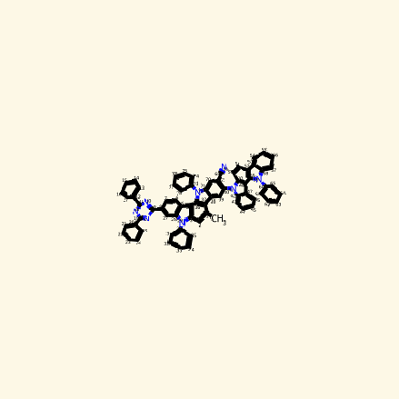 Cc1cc2c(c3ccc(-c4nc(-c5ccccc5)nc(-c5ccccc5)n4)cc3n2-c2ccccc2)c2c1c1cc(-n3c4ccccc4c4c3ccc3c5ccccc5n(-c5ccccc5)c34)c(C#N)cc1n2-c1ccccc1